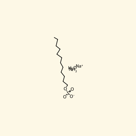 CCCCCCCCCCCCOS(=O)(=O)[O-].N.O.[Na+]